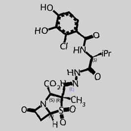 CC(C)[C@H](NC(=O)c1ccc(O)c(O)c1Cl)C(=O)N/N=C/[C@@]1(C)[C@H](C(=O)O)N2C(=O)C[C@H]2S1(=O)=O